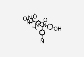 COc1ncc(-c2cc3c(n2C(C)C)C(c2ccc(C#N)cc2)N([C@H]2CC[C@H](O)CC2)C3=O)c(OC)n1